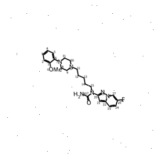 COc1ccccc1N1CCN(CCCCCN(C(N)=O)c2cc3ccc(F)cn3n2)CC1